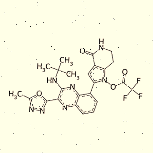 Cc1nnc(-c2nc3cccc(-c4cc5c(n4OC(=O)C(F)(F)F)CCNC5=O)c3nc2NC(C)(C)C)o1